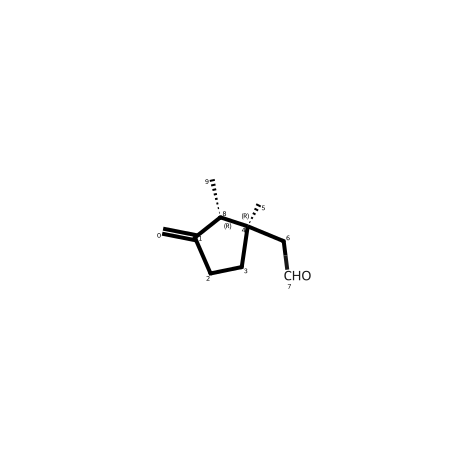 C=C1CC[C@](C)(CC=O)[C@H]1C